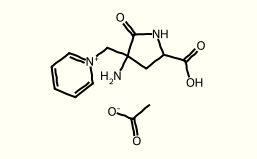 CC(=O)[O-].NC1(C[n+]2ccccc2)CC(C(=O)O)NC1=O